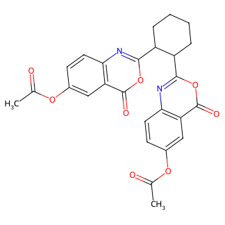 CC(=O)Oc1ccc2nc(C3CCCCC3c3nc4ccc(OC(C)=O)cc4c(=O)o3)oc(=O)c2c1